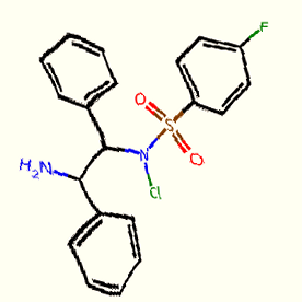 NC(c1ccccc1)C(c1ccccc1)N(Cl)S(=O)(=O)c1ccc(F)cc1